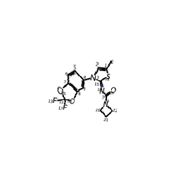 Cc1cn(-c2ccc3c(c2)OC(F)(F)O3)/c(=N/C(=O)N2CCC2)s1